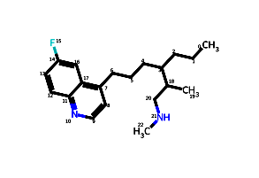 CCCC(CCCc1ccnc2ccc(F)cc12)C(C)CNC